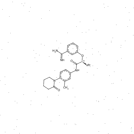 CCC[C@H](Oc1cccc(C(=N)N)c1)C(=O)Nc1ccc(N2CCCCC2=O)c(C)c1